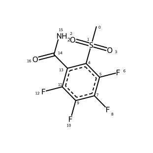 CS(=O)(=O)c1c(F)c(F)c(F)c(F)c1C(N)=O